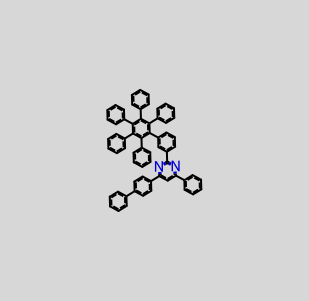 c1ccc(-c2ccc(-c3cc(-c4ccccc4)nc(-c4cccc(-c5c(-c6ccccc6)c(-c6ccccc6)c(-c6ccccc6)c(-c6ccccc6)c5-c5ccccc5)c4)n3)cc2)cc1